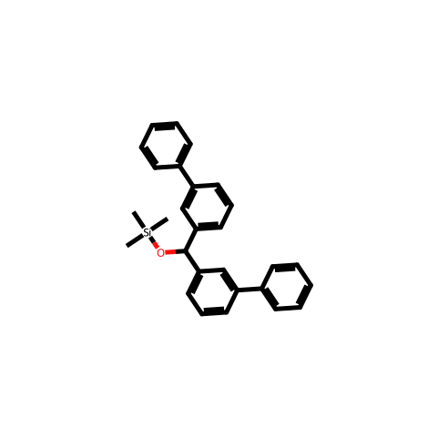 C[Si](C)(C)OC(c1cccc(-c2ccccc2)c1)c1cccc(-c2ccccc2)c1